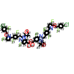 CC1(C)COCC1n1c(Cc2cc(F)c(-c3ccc(F)c(OCc4ccc(Cl)cc4F)n3)cc2F)nc2c(F)cc(C(=O)OC(=O)c3cc(F)c4nc(Cc5cc(F)c(-c6ccc(F)c(OCc7ccc(Cl)cc7F)n6)cc5F)n(C5COCC5(C)C)c4c3)cc21